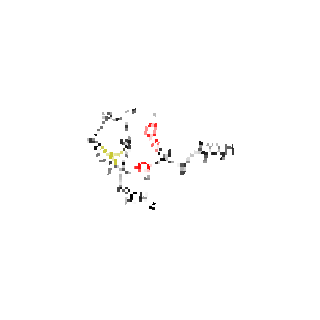 C=CC1(OC(=O)CC(=O)O)CC2CCC1S2